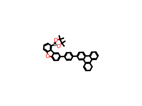 CC1(C)OB(c2cccc3oc4ccc(-c5ccc(-c6ccc7c(c6)c6c(c8ccccc87)CCC=C6)cc5)cc4c23)OC1(C)C